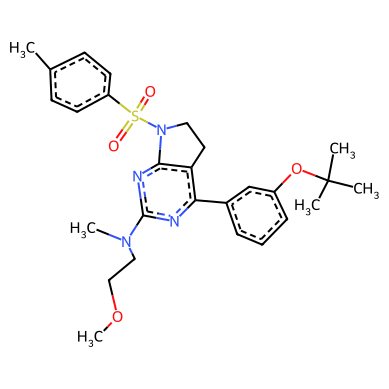 COCCN(C)c1nc(-c2cccc(OC(C)(C)C)c2)c2c(n1)N(S(=O)(=O)c1ccc(C)cc1)CC2